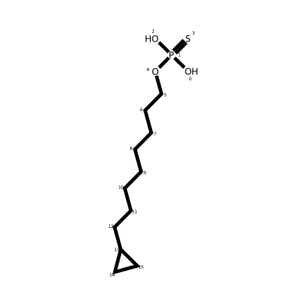 OP(O)(=S)OCCCCCCCCC1CC1